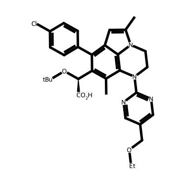 CCOCc1cnc(N2CCn3c(C)cc4c(-c5ccc(Cl)cc5)c([C@H](OC(C)(C)C)C(=O)O)c(C)c2c43)nc1